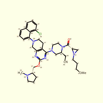 COCCCN1C[C@H]1C(=O)N1CCN(c2nc(OC[C@@H]3CCCN3C)nc3c2CCN(c2cccc4cccc(Cl)c24)C3)C[C@@H]1CC#N